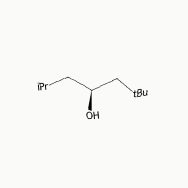 CC(C)C[C@H](O)CC(C)(C)C